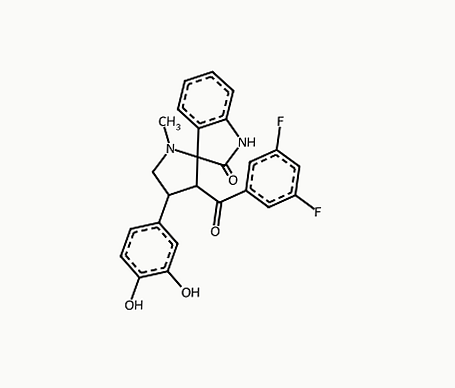 CN1CC(c2ccc(O)c(O)c2)C(C(=O)c2cc(F)cc(F)c2)C12C(=O)Nc1ccccc12